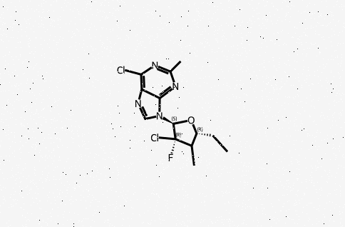 CC[C@H]1O[C@H](n2cnc3c(Cl)nc(C)nc32)[C@](F)(Cl)C1C